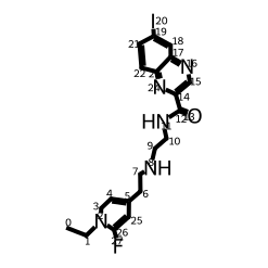 CCN1CC=C(CCNCCNC(=O)c2cnc3cc(I)ccc3n2)C=C1F